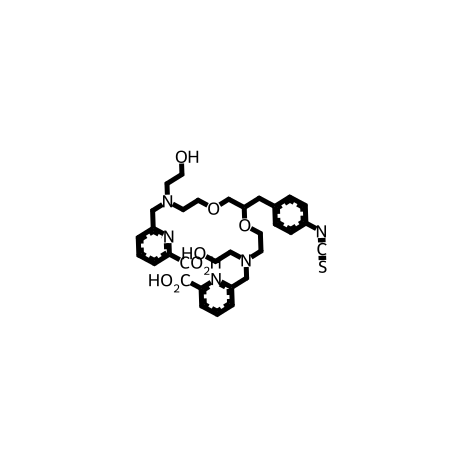 O=C(O)c1cccc(CN(CCO)CCOCC(Cc2ccc(N=C=S)cc2)OCCN(CCO)Cc2cccc(C(=O)O)n2)n1